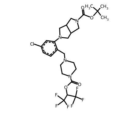 CC(C)(C)OC(=O)N1CC2CN(c3cc(Cl)ccc3CN3CCN(C(=O)OC(C(F)(F)F)C(F)(F)F)CC3)CC2C1